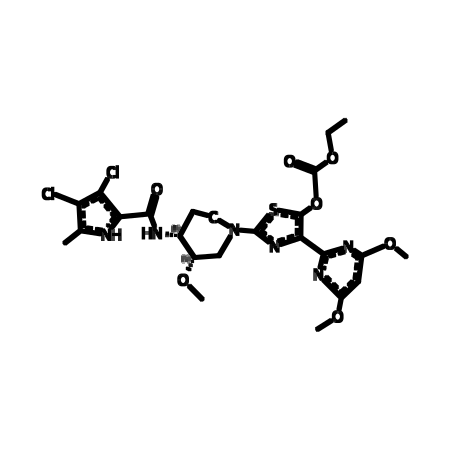 CCOC(=O)Oc1sc(N2CC[C@@H](NC(=O)c3[nH]c(C)c(Cl)c3Cl)[C@@H](OC)C2)nc1-c1nc(OC)cc(OC)n1